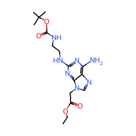 CCOC(=O)Cn1cnc2c(N)nc(NCCNC(=O)OC(C)(C)C)nc21